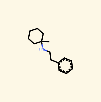 CC1(NCCc2ccccc2)CCCCC1